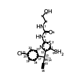 Bc1sc(NC(=O)NCCO)nc1[C@@](C)(C#C)c1ccc(Cl)cc1